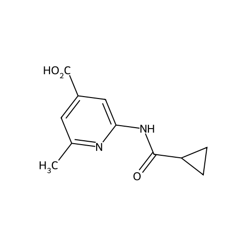 Cc1cc(C(=O)O)cc(NC(=O)C2CC2)n1